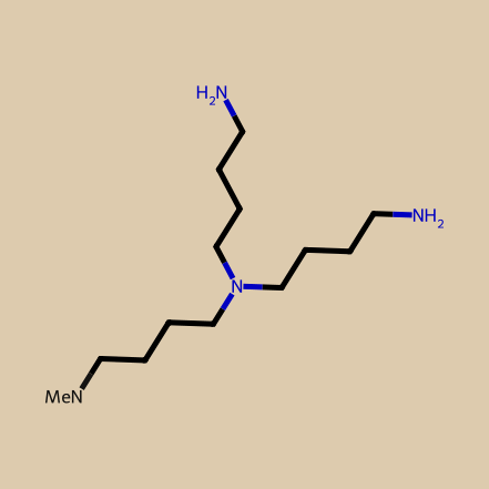 CNCCCCN(CCCCN)CCCCN